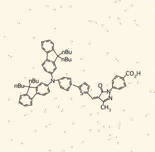 CCCCC1(CCCC)c2ccccc2-c2ccc(N(c3ccc(-c4ccc(/C=C5\C(=O)N(c6ccc(C(=O)O)cc6)N=C5C)s4)cc3)c3ccc4c(c3)C(CCCC)(CCCC)c3ccccc3-4)cc21